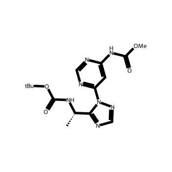 COC(=O)Nc1cc(-n2ncnc2[C@H](C)NC(=O)OC(C)(C)C)ncn1